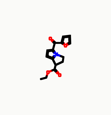 CCOC(=O)C1CCn2c(C(=O)c3ccco3)ccc21